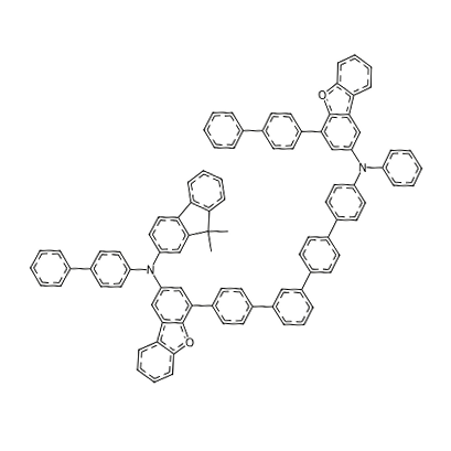 CC1(C)c2ccccc2-c2ccc(N(c3ccc(-c4ccccc4)cc3)c3cc(-c4ccc(-c5cccc(-c6ccc(-c7ccc(N(c8ccccc8)c8cc(-c9ccc(-c%10ccccc%10)cc9)c9oc%10ccccc%10c9c8)cc7)cc6)c5)cc4)c4oc5ccccc5c4c3)cc21